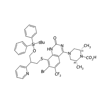 C[C@@H]1CN(c2nc(=O)[nH]c3c(SCC(CO[Si](c4ccccc4)(c4ccccc4)C(C)(C)C)c4ccccn4)c(Br)c(C(F)(F)F)cc23)C[C@H](C)N1C(=O)O